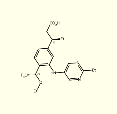 CCO[C@@H](c1ccc([C@H](CC)CC(=O)O)cc1Nc1cnc(CC)nc1)C(F)(F)F